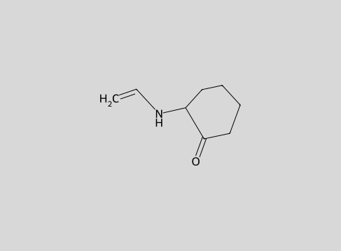 C=CNC1CCCCC1=O